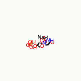 O=c1ccn(C2(O)C[C@@H](OCP(=O)(O)O)CO2)c(=O)[nH]1.[NaH]